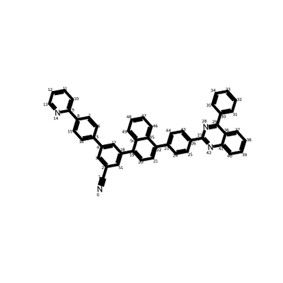 N#Cc1cc(-c2ccc(-c3ccccn3)cc2)cc(-c2ccc(-c3ccc(-c4nc(-c5ccccc5)c5ccccc5n4)cc3)c3ccccc23)c1